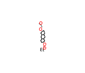 CCOCOc1ccc2cc3cc(OCC4CO4)ccc3cc2c1